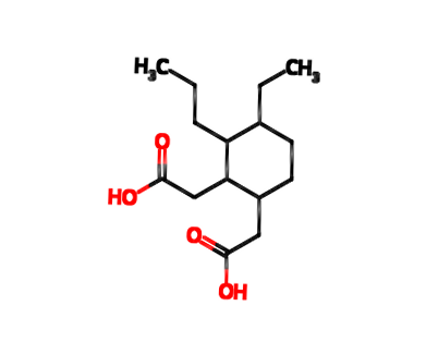 CCCC1C(CC)CCC(CC(=O)O)C1CC(=O)O